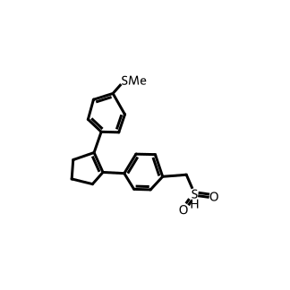 CSc1ccc(C2=C(c3ccc(C[SH](=O)=O)cc3)CCC2)cc1